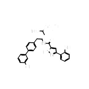 CCOC(=O)[C@H](O)C[C@@H](Cc1ccc(-c2cccc(Cl)c2)cc1)NC(=O)c1cc(-c2ccccc2O)n[nH]1